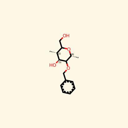 C[C@@H]1C(CO)O[C@H](C)C(OCc2ccccc2)[C@H]1O